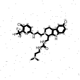 CN(C)CCNC(=O)NCC1c2[nH]c3ccc(Cl)cc3c2CCN1CCNc1ccc(Cl)c(C(F)(F)F)n1